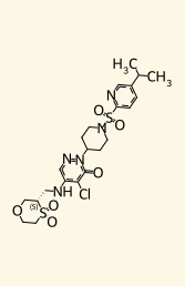 CC(C)c1ccc(S(=O)(=O)N2CCC(n3ncc(NC[C@H]4COCCS4(=O)=O)c(Cl)c3=O)CC2)nc1